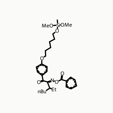 CCCCC(CC)/C(=N\OC(=O)c1ccccc1)C(=O)c1ccc(OCCCCCCO[Si](C)(OC)OC)cc1